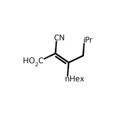 CCCCCCC(CC(C)C)=C(C#N)C(=O)O